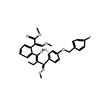 CCC(C(=NOC)c1ccc(OCc2ccc(F)cc2)cc1)=C(ON)c1ccccc1C(=COC)C(=O)OC